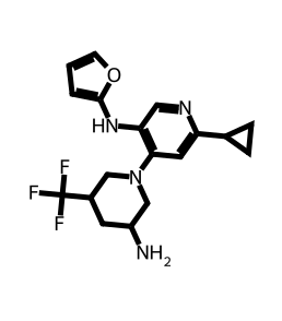 NC1CC(C(F)(F)F)CN(c2cc(C3CC3)ncc2Nc2ccco2)C1